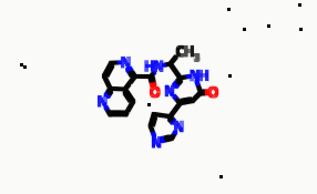 CC(NC(=O)c1nccc2ncccc12)c1nc(-c2ccncn2)cc(=O)[nH]1